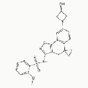 COc1ccccc1S(=O)(=O)Nc1noc2c1CC1(CC1)c1ccc(N3CC(O)C3)cc1-2